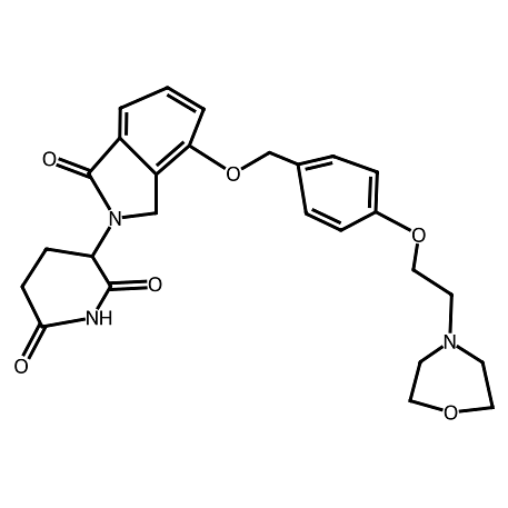 O=C1CCC(N2Cc3c(OCc4ccc(OCCN5CCOCC5)cc4)cccc3C2=O)C(=O)N1